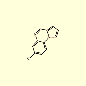 Clc1ccc2c(c1)ncc1cccn12